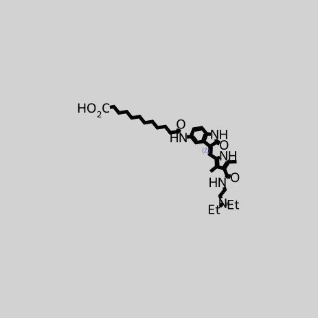 CCN(CC)CCNC(=O)c1c(C)[nH]c(/C=C2\C(=O)Nc3ccc(NC(=O)CCCCCCCCCCC(=O)O)cc32)c1C